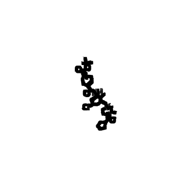 Cc1c(CN2CCN(C(=O)C3CCCC3)C(C)C2)cc(Cl)cc1NC(=O)C1CCN(C(=O)OC(C)(C)C)CC1